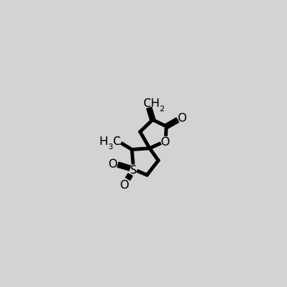 C=C1CC2(CCS(=O)(=O)C2C)OC1=O